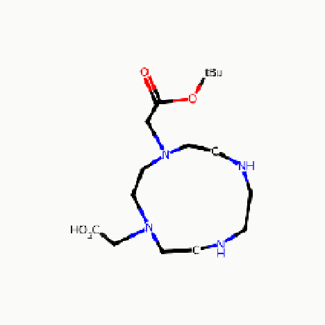 CC(C)(C)OC(=O)CN1CCNCCNCCN(CC(=O)O)CC1